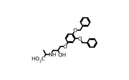 CC(NCC(O)COc1ccc(OCc2ccccc2)c(OCc2ccccc2)c1)C(=O)O